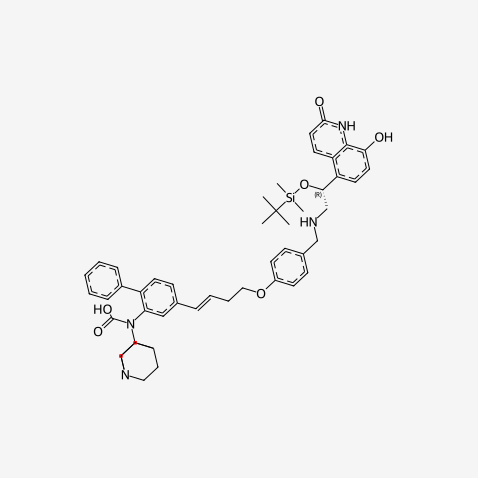 CC(C)(C)[Si](C)(C)O[C@@H](CNCc1ccc(OCCC=Cc2ccc(-c3ccccc3)c(N(C(=O)O)C3CN4CCC3CC4)c2)cc1)c1ccc(O)c2[nH]c(=O)ccc12